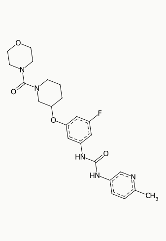 Cc1ccc(NC(=O)Nc2cc(F)cc(OC3CCCN(C(=O)N4CCOCC4)C3)c2)cn1